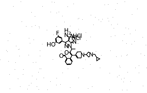 CC(c1oc(=O)c2ccccc2c1C1=CCN(C2CN(CC3CC3)C2)CC1)n1nc(-c2cc(O)cc(F)c2)c2c(N)ncnc21.Cl.Cl